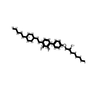 CCCCCCC(F)COc1ccc(-c2ccc(CCC3CCC(CCCCC)CC3)c(F)c2F)cc1